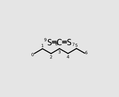 CCCCCCC.S=C=S